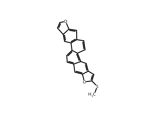 CSc1cc2cc3c(ccc4c5cc6ccoc6cc5ccc34)cc2o1